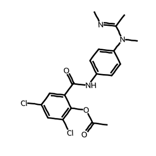 CN=C(C)N(C)c1ccc(NC(=O)c2cc(Cl)cc(Cl)c2OC(C)=O)cc1